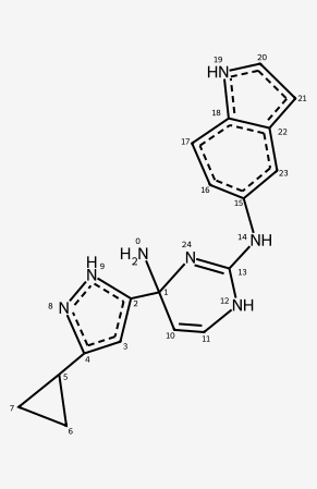 NC1(c2cc(C3CC3)n[nH]2)C=CNC(Nc2ccc3[nH]ccc3c2)=N1